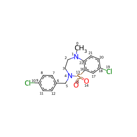 CN1CCN(Cc2ccc(Cl)cc2)S(=O)(=O)c2cc(Cl)ccc21